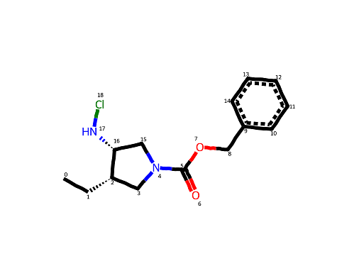 CC[C@H]1CN(C(=O)OCc2ccccc2)C[C@H]1NCl